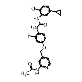 CC(=O)Nc1cc(COc2ccc(NC(=O)Nc3cc(C4CC4)ccc3Cl)c(F)c2)ccn1